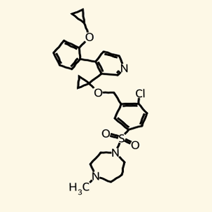 CN1CCCN(S(=O)(=O)c2ccc(Cl)c(COC3(c4cnccc4-c4ccccc4OC4CC4)CC3)c2)CC1